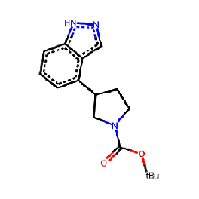 CC(C)(C)OC(=O)N1CCC(c2cccc3[nH]ncc23)C1